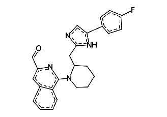 O=Cc1cc2ccccc2c(N2CCCCC2Cc2ncc(-c3ccc(F)cc3)[nH]2)n1